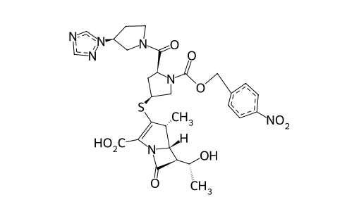 C[C@@H](O)[C@H]1C(=O)N2C(C(=O)O)=C(S[C@H]3C[C@@H](C(=O)N4CC[C@H](n5cncn5)C4)N(C(=O)OCc4ccc([N+](=O)[O-])cc4)C3)[C@H](C)[C@H]12